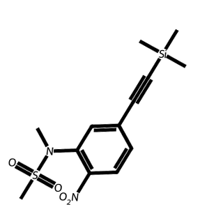 CN(c1cc(C#C[Si](C)(C)C)ccc1[N+](=O)[O-])S(C)(=O)=O